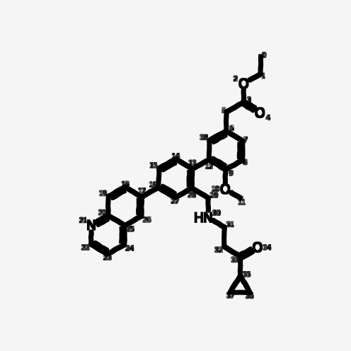 CCOC(=O)Cc1ccc(OC)c(-c2ccc(-c3ccc4ncccc4c3)cc2CNCCC(=O)C2CC2)c1